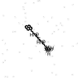 O=C(CCCC[C@@H]1SC[C@@H]2NC(=O)N[C@@H]21)NCCSSCCC(=O)NCCCCc1ccc2ccc3cccc4ccc1c2c34